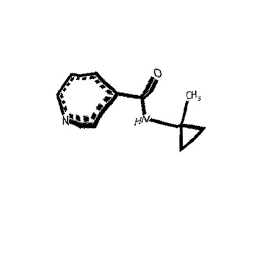 CC1(NC(=O)c2cccnc2)CC1